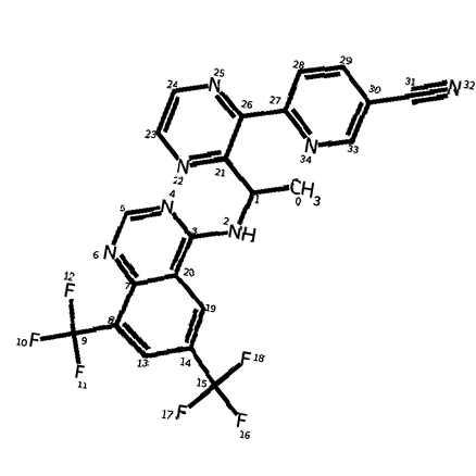 CC(Nc1ncnc2c(C(F)(F)F)cc(C(F)(F)F)cc12)c1nccnc1-c1ccc(C#N)cn1